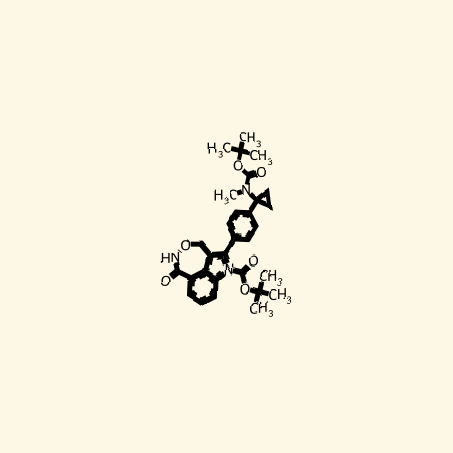 CN(C(=O)OC(C)(C)C)C1(c2ccc(-c3c4c5c(cccc5n3C(=O)OC(C)(C)C)C(=O)NOC4)cc2)CC1